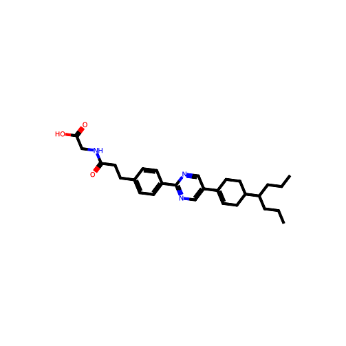 CCCC(CCC)C1CC=C(c2cnc(-c3ccc(CCC(=O)NCC(=O)O)cc3)nc2)CC1